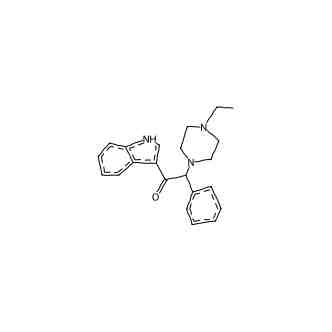 CCN1CCN(C(C(=O)c2c[nH]c3ccccc23)c2ccccc2)CC1